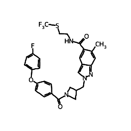 Cc1cc2nn(CC3CN(C(=O)c4ccc(Oc5ccc(F)cc5)cc4)C3)cc2cc1C(=O)NCCSC(F)(F)F